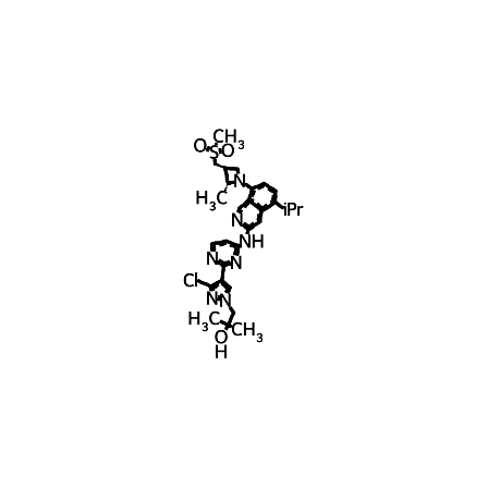 CC(C)c1ccc(N2C[C@H](CS(C)(=O)=O)[C@H]2C)c2cnc(Nc3ccnc(-c4cn(CC(C)(C)O)nc4Cl)n3)cc12